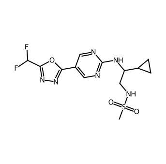 CS(=O)(=O)NCC(Nc1ncc(-c2nnc(C(F)F)o2)cn1)C1CC1